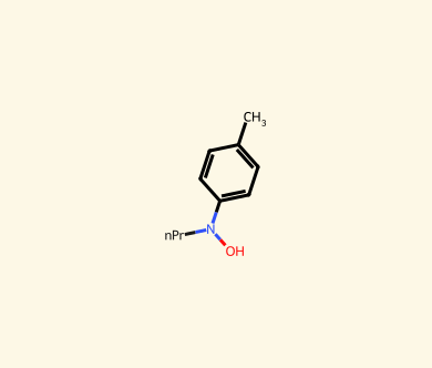 CCCN(O)c1ccc(C)cc1